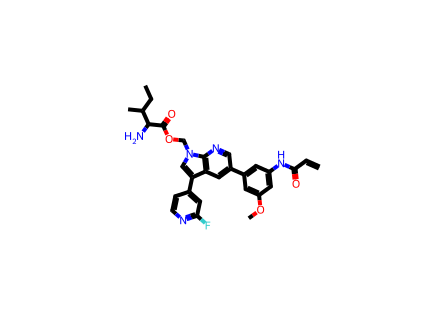 C=CC(=O)Nc1cc(OC)cc(-c2cnc3c(c2)c(-c2ccnc(F)c2)cn3COC(=O)C(N)C(C)CC)c1